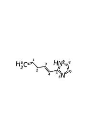 C=CCC=Cc1ncc[nH]1